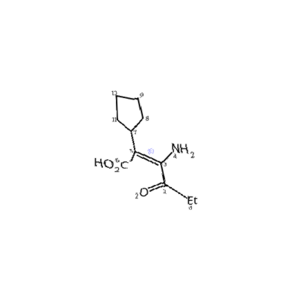 CCC(=O)/C(N)=C(\C(=O)O)C1CCCC1